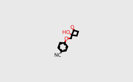 N#Cc1ccc(OC[C@@]2(O)CCC2=O)cc1